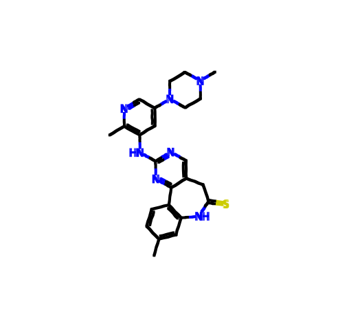 Cc1ccc2c(c1)NC(=S)Cc1cnc(Nc3cc(N4CCN(C)CC4)cnc3C)nc1-2